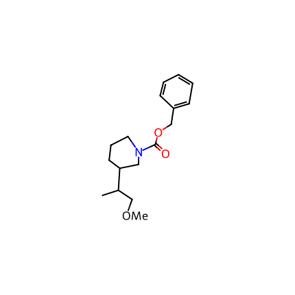 COCC(C)C1CCCN(C(=O)OCc2ccccc2)C1